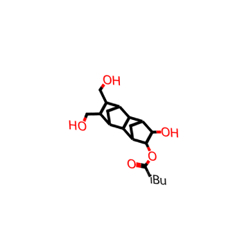 CCC(C)C(=O)OC1C(O)C2CC1C1C3CC(C(CO)C3CO)C21